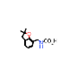 CC1(C)Cc2cccc(CNC(=O)O)c2O1